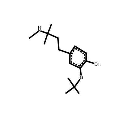 CNC(C)(C)CCc1ccc(O)c(OC(C)(C)C)c1